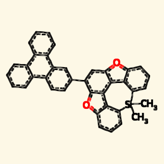 C[Si]1(C)c2cccc3oc4cc(-c5ccc6c7ccccc7c7ccccc7c6c5)c5oc6cccc1c6c5c4c23